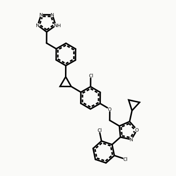 Clc1cc(OCc2c(-c3c(Cl)cccc3Cl)noc2C2CC2)ccc1C1CC1c1cccc(Cc2nnn[nH]2)c1